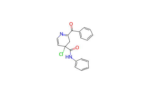 O=C(C1=NC=CC(Cl)(C(=O)Nc2ccccc2)C1)c1ccccc1